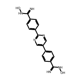 N=C(NO)c1ccc(-c2cnc(-c3ccc(C(=N)NO)cc3)nc2)cc1